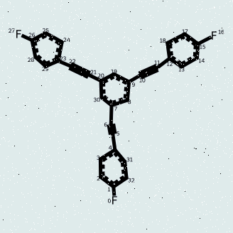 Fc1ccc(C#Cc2cc(C#Cc3ccc(F)cc3)cc(C#Cc3ccc(F)cc3)c2)cc1